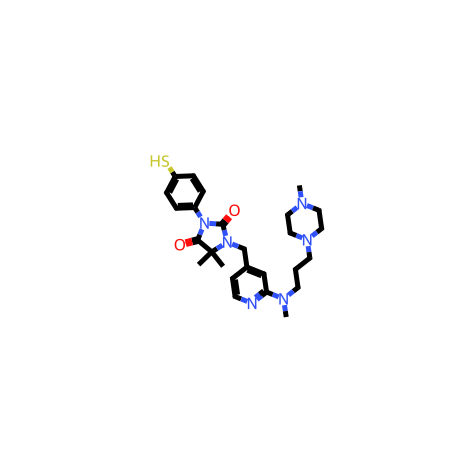 CN1CCN(CCCN(C)c2cc(CN3C(=O)N(c4ccc(S)cc4)C(=O)C3(C)C)ccn2)CC1